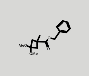 COC1(OC)CC(C)(C(=O)OCc2ccccc2)C1